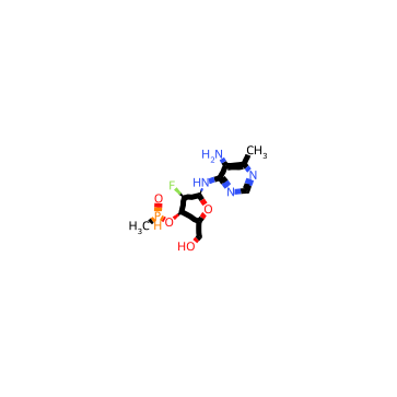 Cc1ncnc(N[C@@H]2OC(CO)[C@@H](O[PH](C)=O)[C@H]2F)c1N